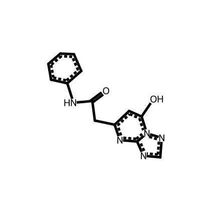 O=C(Cc1cc(O)n2ncnc2n1)Nc1ccccc1